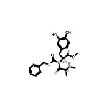 CN[C@@H](C)C(=O)N(C(=O)OCc1ccccc1)[C@@](C)(Cc1ccc(O)c(O)c1)C(=O)OC